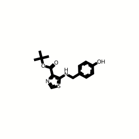 CC(C)(C)OC(=O)c1ncsc1NCc1ccc(O)cc1